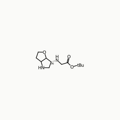 CC(C)(C)OC(=O)CN[C@@H]1CNC2CCOC21